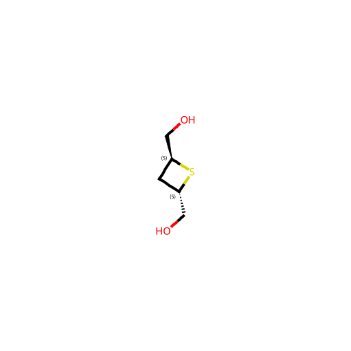 OC[C@@H]1C[C@@H](CO)S1